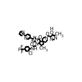 Cc1ncnc(C(=O)N2CCC3(CC2)CC(C)c2c3c(=O)n3nc(-c4ccc(-n5cccn5)nc4)nc3n2CC(=O)Nc2ccc(C(F)(F)F)cc2Cl)c1O